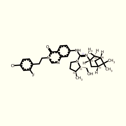 C[C@@H]1[C@@H](/N=C(/Nc2ccc3c(=O)n(CCc4ccc(Cl)cc4F)cnc3c2)N2CC[C@H](C)[C@H]2CO)C[C@@H]2C[C@H]1C2(C)C